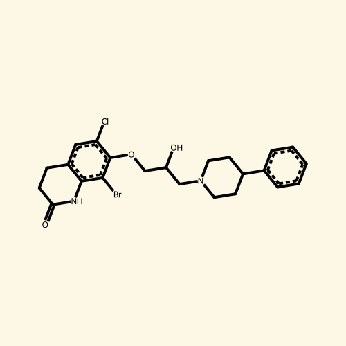 O=C1CCc2cc(Cl)c(OCC(O)CN3CCC(c4ccccc4)CC3)c(Br)c2N1